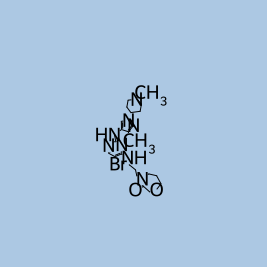 Cc1nn(C2CCN(C)CC2)cc1Nc1ncc(Br)c(NCCCN2CCCOCC2=O)n1